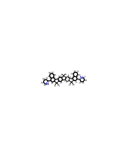 CC1(C)C2=C(CC3C(=C2)c2c(cc(-c4ccccn4)c4ccccc24)C3(C)C)c2cc3c(cc21)-c1c(cc(-c2ccccn2)c2ccccc12)C3(C)C